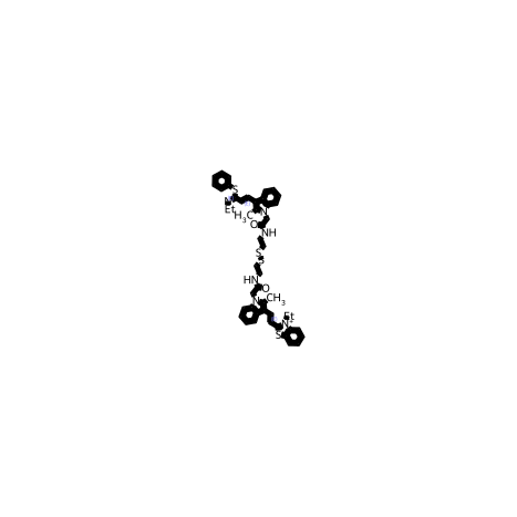 CC/N=C(\C=C\c1c(C)n(CC(=O)NCCSSCCNC(=O)Cn2c(C)c(/C=C/c3sc4ccccc4[n+]3CC)c3ccccc32)c2ccccc12)Sc1ccccc1